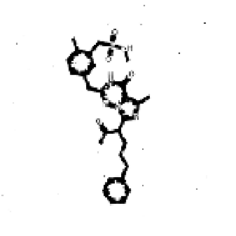 CNS(=O)(=O)Cc1cc(Cc2nn3c(C(CCCc4ccccc4)C(C)=O)nc(C)c3c(=O)[nH]2)ccc1C